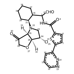 O=CC(NC(=O)c1ccc(-c2cccnn2)s1)C1CCCC[C@@H]1N1C[C@H](Cl)[C@H]2OCC(=O)[C@H]21